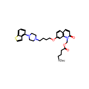 CCCCCCCCCCCCCC(=O)OCn1c(=O)ccc2ccc(OCCCCN3CCN(c4cccc5sccc45)CC3)cc21